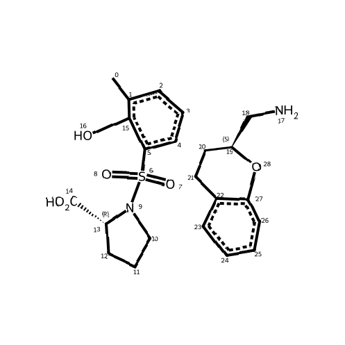 Cc1cccc(S(=O)(=O)N2CCC[C@@H]2C(=O)O)c1O.NC[C@@H]1CCc2ccccc2O1